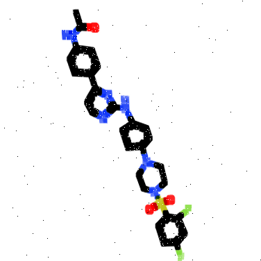 CC(=O)Nc1ccc(-c2ccnc(Nc3ccc(N4CCN(S(=O)(=O)c5ccc(F)cc5F)CC4)cc3)n2)cc1